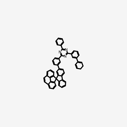 C1=CC(c2cccc(-c3nc(-c4ccccc4)nc(-c4cccc(-c5ccc6c(c5)C5(c7ccccc7-6)c6cccc7ccc8cccc5c8c67)c4)n3)c2)=CCC1